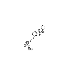 CC(C)(C)OC(=O)NCCCc1cccc(S(=O)(=O)NC2CCCC2)c1